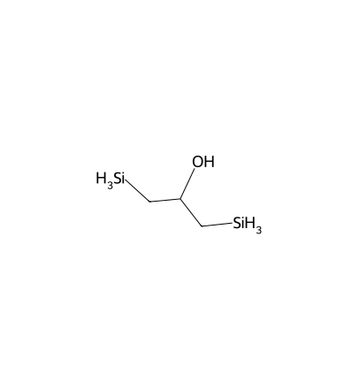 OC(C[SiH3])C[SiH3]